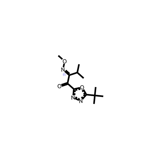 CO/N=C(/C(=O)c1nnc(C(C)(C)C)o1)C(C)C